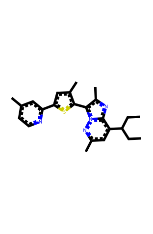 CCC(CC)c1cc(C)nn2c(-c3sc(-c4cc(C)ccn4)cc3C)c(C)nc12